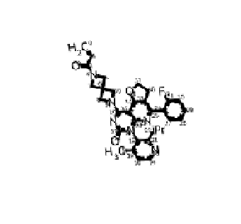 C=CC(=O)N1CC2(C1)CN(c1nc(=O)n(-c3c(C)ccnc3C(C)C)c3nc(-c4ccccc4F)c4c(c13)OCC4)C2